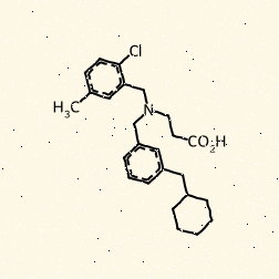 Cc1ccc(Cl)c(CN(CCC(=O)O)Cc2cccc(CC3CCCCC3)c2)c1